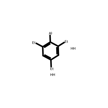 CCc1cc(CC)[c]([Al])c(CC)c1.[HH].[HH]